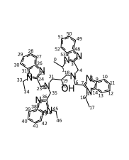 CCn1c(CN(Cc2nc3ccccc3n2CC)CC(O)CN(Cc2nc3ccccc3n2CC)Cc2nc3ccccc3n2CC)nc2ccccc21